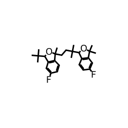 CC1(C)OC(C(C)(C)CCC2(C)OC(C(C)(C)C)c3cc(F)ccc32)c2ccc(F)cc21